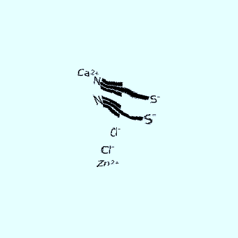 N#C[S-].N#C[S-].[Ca+2].[Cl-].[Cl-].[Zn+2]